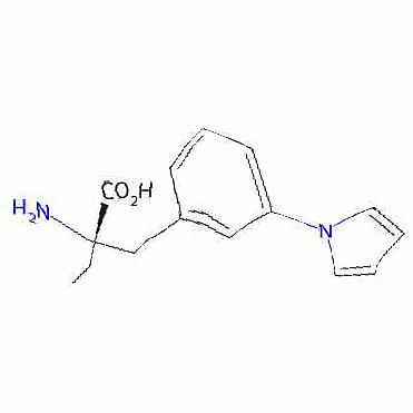 C[C@](N)(Cc1cccc(-n2cccc2)c1)C(=O)O